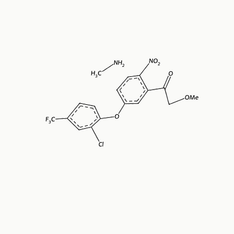 CN.COCC(=O)c1cc(Oc2ccc(C(F)(F)F)cc2Cl)ccc1[N+](=O)[O-]